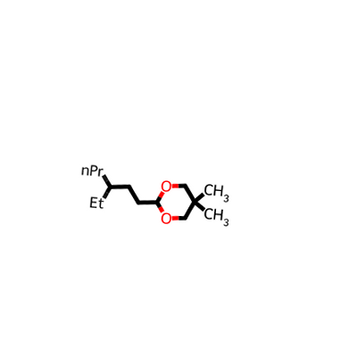 CCCC(CC)CCC1OCC(C)(C)CO1